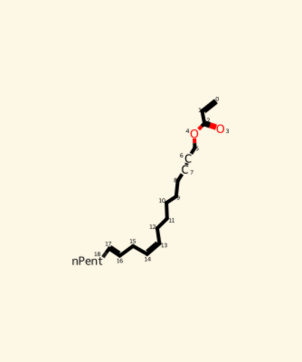 C=CC(=O)OCCCCCCCC/C=C\CC=CCCCCC